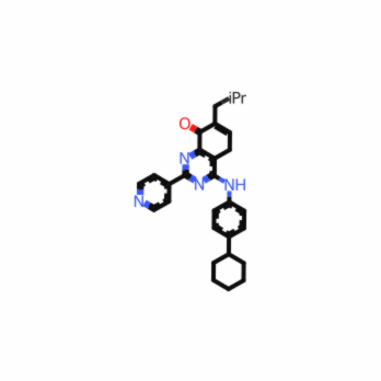 CC(C)CC1=CCc2c(Nc3ccc(C4CCCCC4)cc3)nc(-c3ccncc3)nc2C1=O